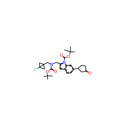 CC(C)(C)OC(=O)N(Cc1cc2ccc(C3CCC(=O)C3)cc2n1C(=O)OC(C)(C)C)CC12CC1(F)C2